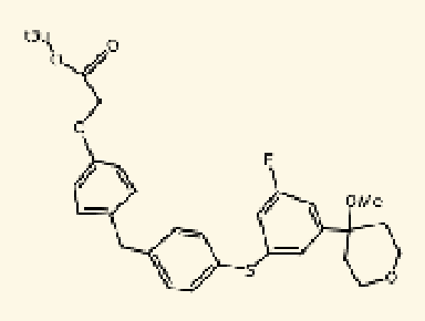 COC1(c2cc(F)cc(Sc3ccc(Cc4ccc(OCC(=O)OC(C)(C)C)cc4)cc3)c2)CCOCC1